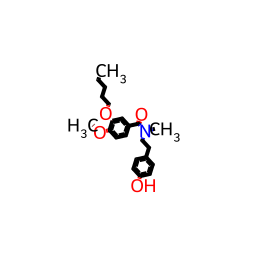 CCCCCOc1cc(C(=O)N(C)CCc2ccc(O)cc2)ccc1OC